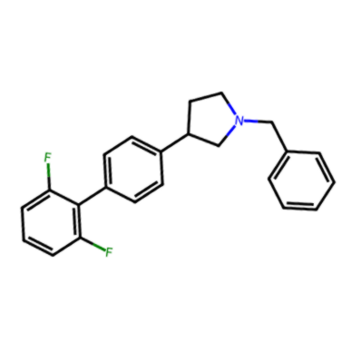 Fc1cccc(F)c1-c1ccc(C2CCN(Cc3ccccc3)C2)cc1